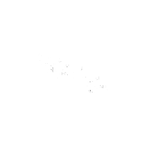 Cc1c(C(=O)Nc2ccc(Oc3ccnc(N)c3Cl)c(F)c2)c(=O)n(-c2ccccc2)n1C